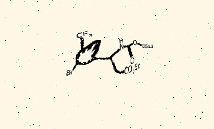 CCOC(=O)C[C@H](NC(=O)OC(C)(C)C)c1cc(Br)cc(C(F)(F)F)c1